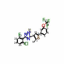 Cc1sc(-c2cccc(OC(F)(F)F)c2)cc1-c1nc(-c2c(F)cccc2Cl)nn1C